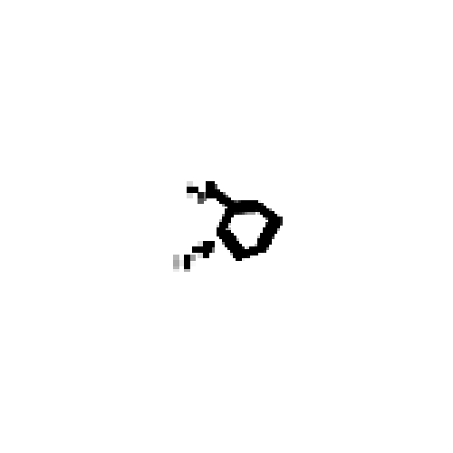 Bc1ccccc1.F.F